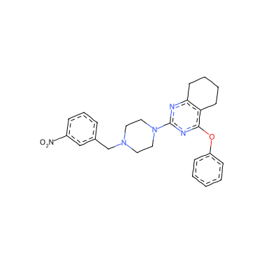 O=[N+]([O-])c1cccc(CN2CCN(c3nc4c(c(Oc5ccccc5)n3)CCCC4)CC2)c1